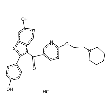 Cl.O=C(c1ccc(OCCN2CCCCC2)nc1)c1c(-c2ccc(O)cc2)sc2cc(O)ccc12